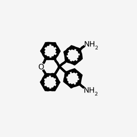 Nc1ccc(C2(c3ccc(N)cc3)c3ccccc3Oc3ccccc32)cc1